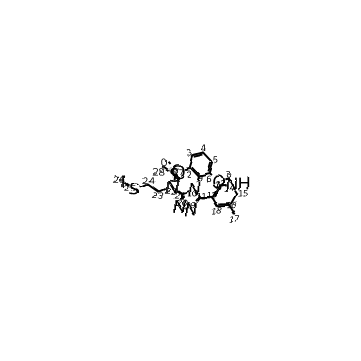 COc1cccc(OC)c1-n1c(C2=CNCC(C)=C2)nnc1N(CCSI)SC